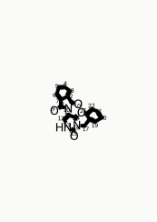 O=C1c2ccccc2C(=O)N1c1c[nH]c(=O)n(Cc2ccccc2)c1=O